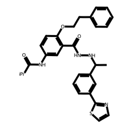 CC(C)C(=O)Nc1ccc(OCCc2ccccc2)c(C(=O)NNC(C)c2cccc(-c3nccs3)c2)c1